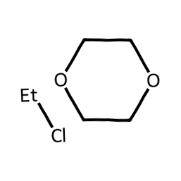 C1COCCO1.CCCl